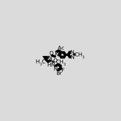 CC(=O)c1cn(CC(=O)N2C3C[C@]3(C)C[C@H]2C(=O)Nc2nc(Br)c(F)cc2C)c2ccc(-c3cnc(C)nc3)cc12